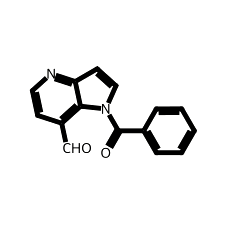 O=Cc1ccnc2ccn(C(=O)c3ccccc3)c12